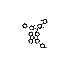 Cc1ccccc1-c1ccc(N(c2ccc3c(c2)C2(c4ccccc4-c4ccccc42)c2ccc(-c4ccc(F)cc4)cc2-3)c2ccc(-c3ccccc3)cc2C)cc1C